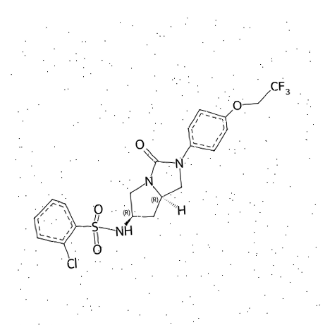 O=C1N(c2ccc(OCC(F)(F)F)cc2)C[C@H]2C[C@@H](NS(=O)(=O)c3ccccc3Cl)CN12